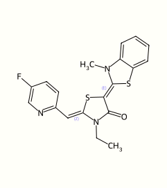 CCn1c(=O)/c(=C2\Sc3ccccc3N2C)s/c1=C\c1ccc(F)cn1